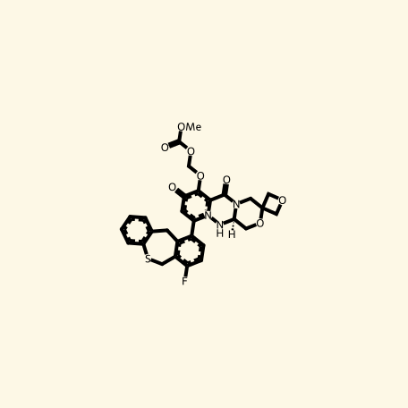 COC(=O)OCOc1c2n(c(-c3ccc(F)c4c3Cc3ccccc3SC4)cc1=O)N[C@@H]1COC3(COC3)CN1C2=O